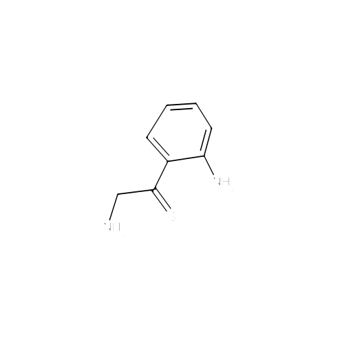 NCC(=S)c1ccccc1N